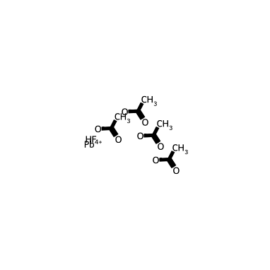 CC(=O)[O-].CC(=O)[O-].CC(=O)[O-].CC(=O)[O-].F.[Pb+4]